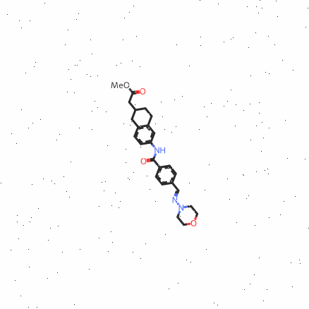 COC(=O)CC1CCc2cc(NC(=O)c3ccc(C=NN4CCOCC4)cc3)ccc2C1